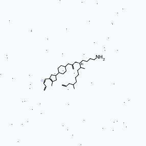 C=C/C=C\C1=C(C)CC(C2CCC(CC(=C)C[C@@H](CCCCN)C(C)CCCCC(C)CC=C)CC2)C1